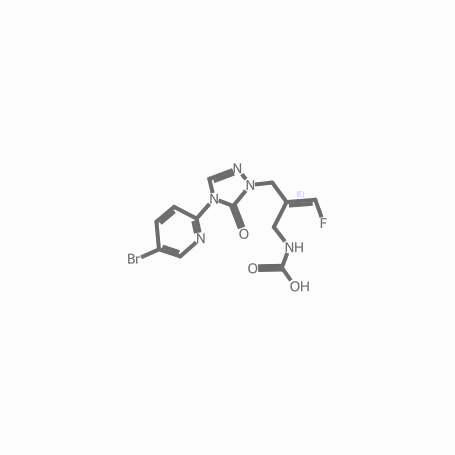 O=C(O)NC/C(=C\F)Cn1ncn(-c2ccc(Br)cn2)c1=O